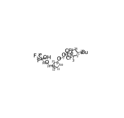 CCC(C)c1ccc(C(OCOC2CC3CC(COCC(O)(F)C(F)(F)F)C2C3)(C(F)(F)F)C(F)(F)F)cc1